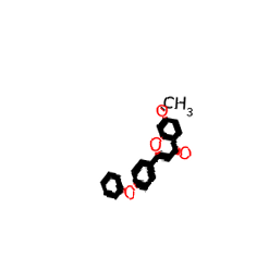 COc1ccc2c(=O)cc(-c3ccc(Oc4ccccc4)cc3)oc2c1